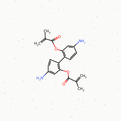 C=C(C)C(=O)Oc1cc(N)ccc1-c1ccc(N)cc1OC(=O)C(=C)C